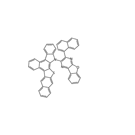 c1ccc2cc3c(cc2c1)sc1c3c2ccccc2c2c3ccccc3n(-c3nc4c(nc3-c3cccc5ccccc35)oc3ccccc34)c12